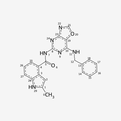 Cc1cc2c(C(=O)Nc3nc(NCc4ccccc4)c4ocnc4n3)cccc2[nH]1